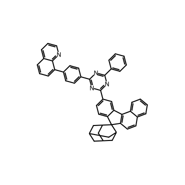 c1ccc(-c2nc(-c3ccc(-c4cccc5cccnc45)cc3)nc(-c3ccc4c(c3)-c3c(ccc5ccccc35)C43C4CC5CC(C4)CC3C5)n2)cc1